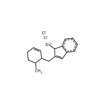 CC1CCC=CC1CC1=Cc2ccccc2[CH]1[Zr+2].[Cl-].[Cl-]